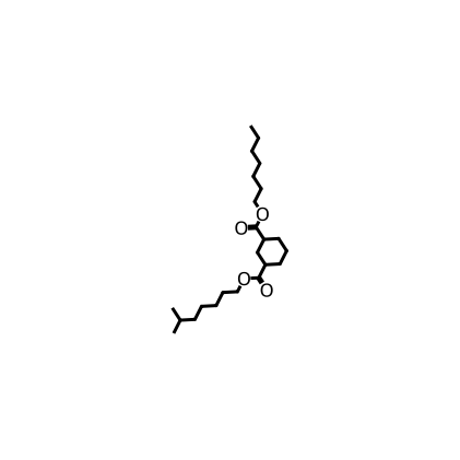 CCCCCCCOC(=O)C1CCCC(C(=O)OCCCCCC(C)C)C1